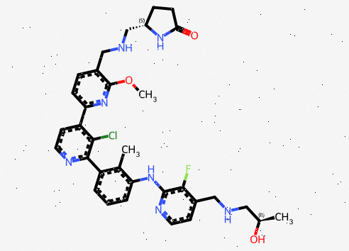 COc1nc(-c2ccnc(-c3cccc(Nc4nccc(CNC[C@@H](C)O)c4F)c3C)c2Cl)ccc1CNC[C@@H]1CCC(=O)N1